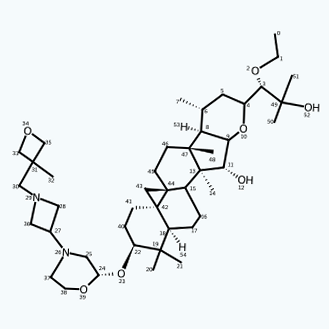 CCO[C@@H](C1C[C@@H](C)[C@H]2C(O1)[C@H](O)[C@@]1(C)C3CC[C@H]4C(C)(C)[C@@H](O[C@H]5CN(C6CN(CC7(C)COC7)C6)CCO5)CC[C@@]45C[C@@]35CC[C@]21C)C(C)(C)O